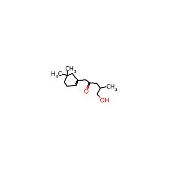 CC(CO)CC(=O)CC1=CCCC(C)(C)C1